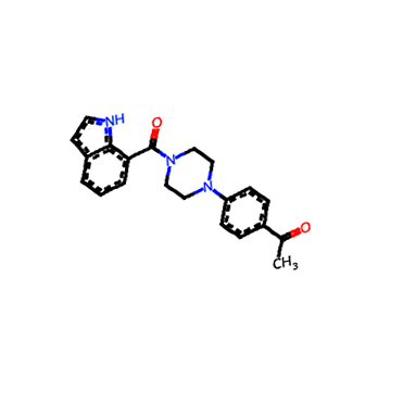 CC(=O)c1ccc(N2CCN(C(=O)c3cccc4cc[nH]c34)CC2)cc1